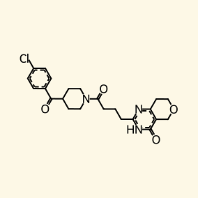 O=C(c1ccc(Cl)cc1)C1CCN(C(=O)CCCc2nc3c(c(=O)[nH]2)COCC3)CC1